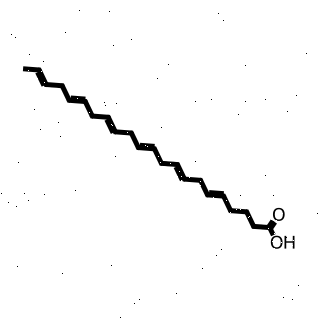 CC=CCC=CCC=CCC=CCC=CCC=CCCCC(=O)O